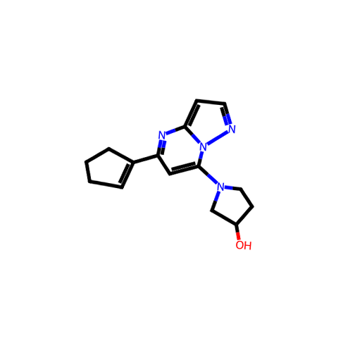 OC1CCN(c2cc(C3=CCCC3)nc3ccnn23)C1